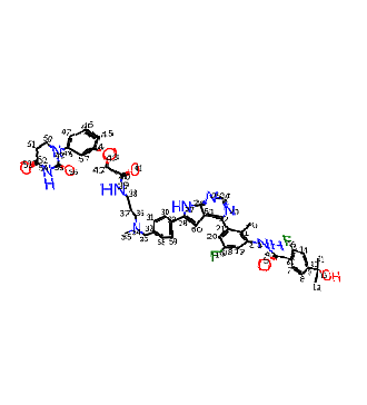 Cc1c(NC(=O)c2ccc(C(C)(C)O)cc2F)cc(F)cc1-c1ncnc2[nH]c(-c3ccc(CN(C)CCCNC(=O)COc4cccc(N5CCC(=O)NC5=O)c4)cc3)cc12